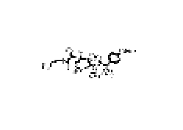 COc1ccc([C@H](N)C(=O)N[C@@H](C(C)C)C(O)C(F)(F)C(=O)NCC(F)(F)F)cc1.Cl